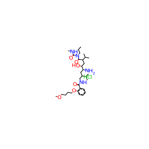 CCCN(C(=O)NC)C(=O)C(CC(O)C(N)CC(CNC(=O)c1ccccc1OCCCCOC)C(C)C)C(C)C.Cl